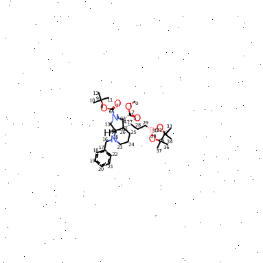 COC(=O)[C@H]1N(C(=O)OC(C)(C)C)C[C@@H]2N(Cc3ccccc3)CCC[C@@]21CCCB1OC(C)(C)C(C)(C)O1